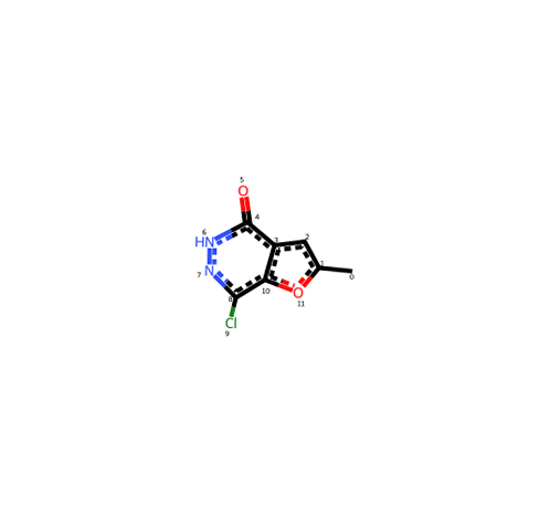 Cc1cc2c(=O)[nH]nc(Cl)c2o1